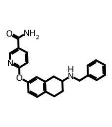 NC(=O)c1ccc(Oc2ccc3c(c2)CC(NCc2ccccc2)CC3)nc1